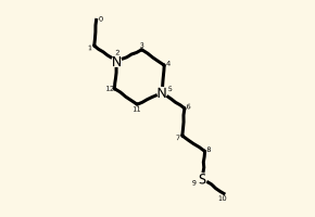 CCN1CCN(CCCSC)CC1